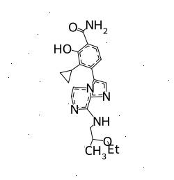 CCOC(C)CNc1nccn2c(-c3ccc(C(N)=O)c(O)c3C3CC3)cnc12